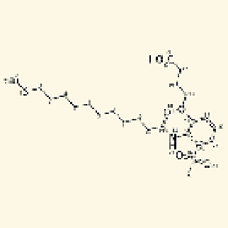 CC(C)(C)SCCCCCCCCCCC(=O)Nc1c(OCCCC(=O)O)cccc1S(C)(=O)=O